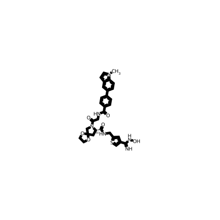 Cn1ccc2cc(-c3ccc(C(=O)NCC(=O)N4CC5(C[C@H]4C(=O)NCc4cc(C(=N)NO)cs4)OCCO5)cc3)ccc21